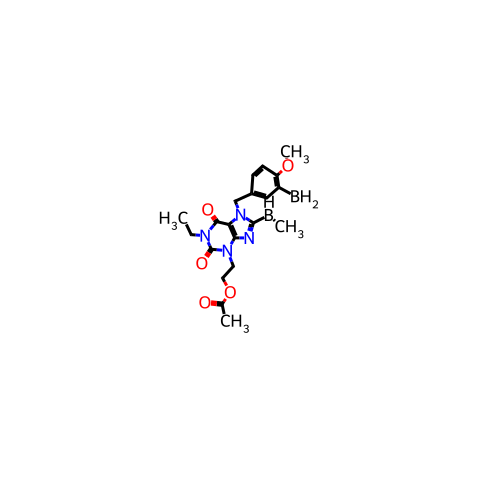 Bc1cc(Cn2c(BC)nc3c2c(=O)n(CC)c(=O)n3CCOC(C)=O)ccc1OC